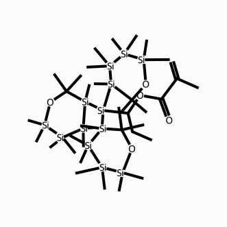 C=C(C)C(=O)OC(CC)[Si]([Si]1(C)C(C)(C)O[Si](C)(C)[Si](C)(C)[Si]1(C)C)([Si]1(C)C(C)(C)O[Si](C)(C)[Si](C)(C)[Si]1(C)C)[Si]1(C)C(C)(C)O[Si](C)(C)[Si](C)(C)[Si]1(C)C